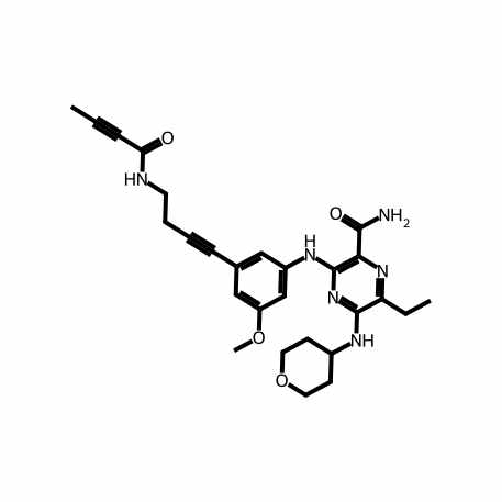 CC#CC(=O)NCCC#Cc1cc(Nc2nc(NC3CCOCC3)c(CC)nc2C(N)=O)cc(OC)c1